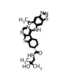 COc1cc2nnsc2cc1Nc1ncnc2sc3c(c12)CC[C@H](C(=O)NCC(C)(C)O)C3